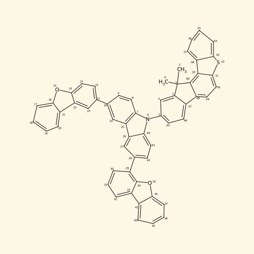 CC1(C)c2cc(-n3c4ccc(-c5ccc6oc7ccccc7c6c5)cc4c4cc(-c5cccc6c5oc5ccccc56)ccc43)ccc2-c2ccc3sc4ccccc4c3c21